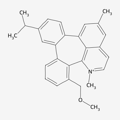 COCc1cccc2c1-c1c3c(cc(C)cc3cc[n+]1C)-c1ccc(C(C)C)cc1-2